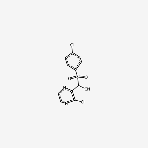 N#CC(c1nccnc1Cl)S(=O)(=O)c1ccc(Cl)cc1